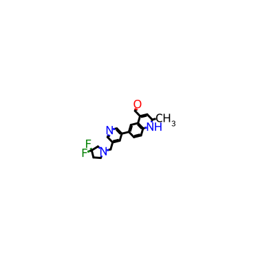 CC1C=C(C=O)c2cc(-c3cncc(CN4CCC(F)(F)C4)c3)ccc2N1